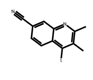 Cc1nc2cc(C#N)ccc2c(I)c1C